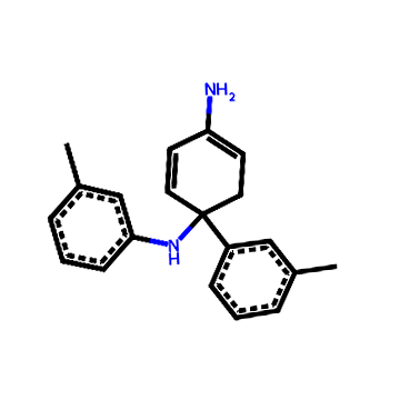 Cc1cccc(NC2(c3cccc(C)c3)C=CC(N)=CC2)c1